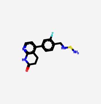 NSNCc1ccc(-c2ccnc3c2CCC(=O)N3)cc1F